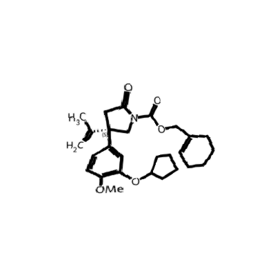 C=C(C)[C@]1(c2ccc(OC)c(OC3CCCC3)c2)CC(=O)N(C(=O)OCC2=CCCCC2)C1